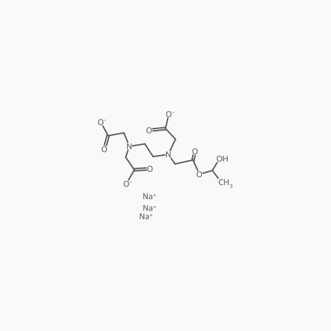 CC(O)OC(=O)CN(CCN(CC(=O)[O-])CC(=O)[O-])CC(=O)[O-].[Na+].[Na+].[Na+]